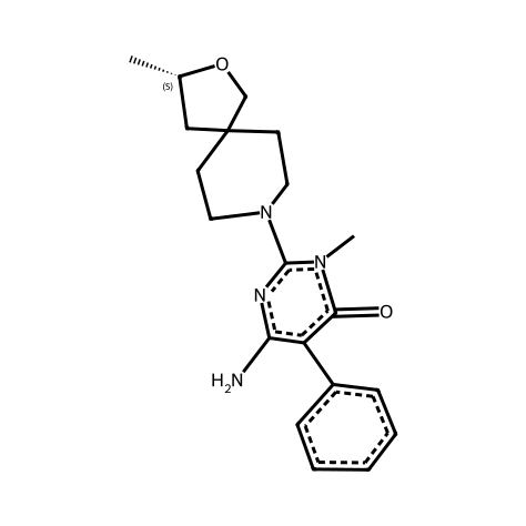 C[C@H]1CC2(CCN(c3nc(N)c(-c4ccccc4)c(=O)n3C)CC2)CO1